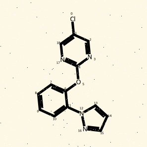 Clc1cnc(Oc2ccccc2-n2cccn2)nc1